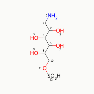 NCC(O)C(O)C(O)C(O)COS(=O)(=O)O